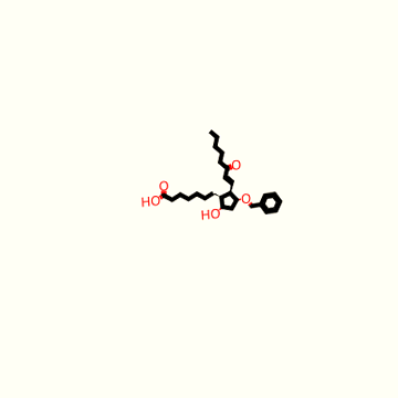 CCCCCC(=O)/C=C/[C@@H]1[C@@H](CCCCCCC(=O)O)[C@@H](O)C[C@H]1OCc1ccccc1